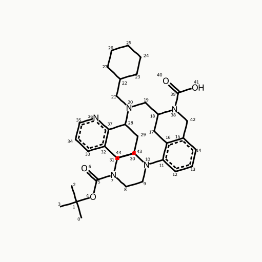 CC(C)(C)OC(=O)N1CCN(c2cccc3c2CC(CN(CC2CCCCC2)C2CCCc4cccnc42)N(C(=O)O)C3)CC1